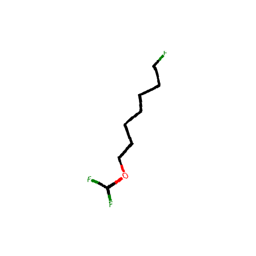 FCCCCCCCOC(F)F